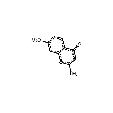 COc1ccc2c(=O)cc(C)oc2c1